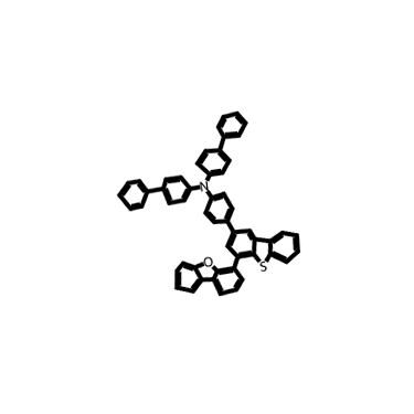 c1ccc(-c2ccc(N(c3ccc(-c4ccccc4)cc3)c3ccc(-c4cc(-c5cccc6c5oc5ccccc56)c5sc6ccccc6c5c4)cc3)cc2)cc1